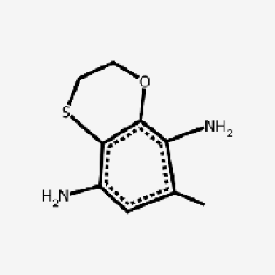 Cc1cc(N)c2c(c1N)OCCS2